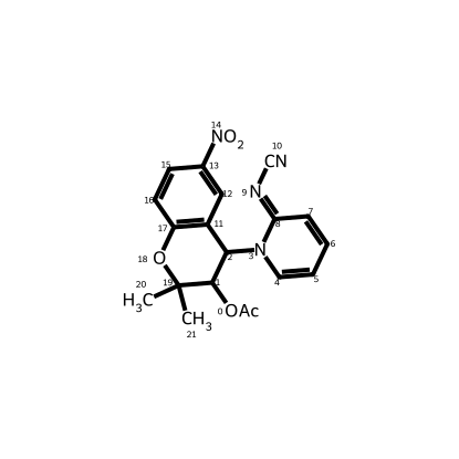 CC(=O)OC1C(n2ccccc2=NC#N)c2cc([N+](=O)[O-])ccc2OC1(C)C